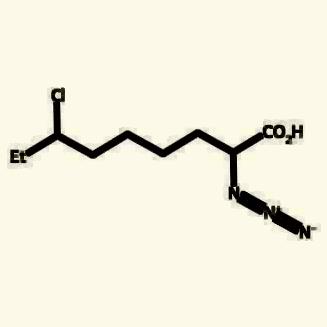 CCC(Cl)CCCCC(N=[N+]=[N-])C(=O)O